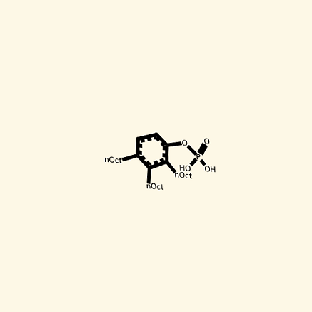 CCCCCCCCc1ccc(OP(=O)(O)O)c(CCCCCCCC)c1CCCCCCCC